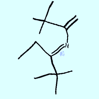 C=C(/N=C(\CC)C(C)(C)C)C(C)(C)C